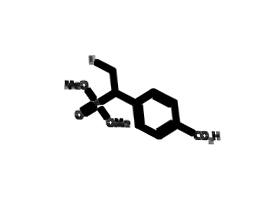 COP(=O)(OC)C(CF)c1ccc(C(=O)O)cc1